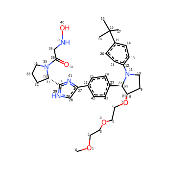 COCCOCCO[C@@H]1CCN(c2ccc(C(C)(C)C)cc2)[C@@H]1c1ccc(-c2c[nH]c([C@@H]3CCCN3C(=O)CNO)n2)cc1